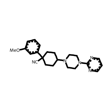 COc1cccc(C2(C#N)CCC(N3CCN(c4ncccn4)CC3)CC2)c1